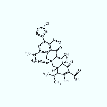 CN(C)c1cc(-c2ccc(Cl)s2)c(N=O)c2c1C[C@@]1(C=N)C[C@H]3[C@H](N(C)C)C(O)=C(C(N)=O)C(=O)[C@@]3(O)C(O)=C1C2=O